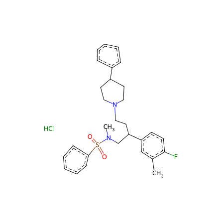 Cc1cc(C(CCN2CCC(c3ccccc3)CC2)CN(C)S(=O)(=O)c2ccccc2)ccc1F.Cl